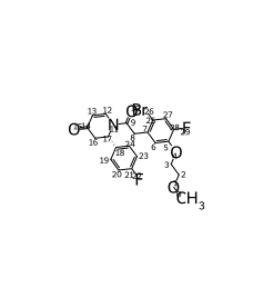 COCCOc1cc(CC(=O)N2C=CC(=O)C[C@H]2c2ccc(F)cc2)c(Br)cc1F